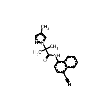 Cc1cnn(C(C)(C)C(=O)Nc2ccc(C#N)c3ccccc23)c1